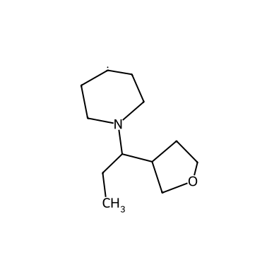 CCC(C1CCOC1)N1CC[CH]CC1